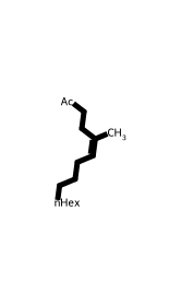 CCCCCCCCCC=C(C)CCC(C)=O